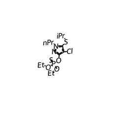 CCCn1nc(OP(=S)(OCC)OCC)c(Cl)c1SC(C)C